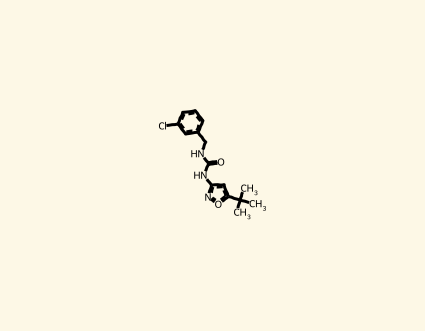 CC(C)(C)c1cc(NC(=O)NCc2cccc(Cl)c2)no1